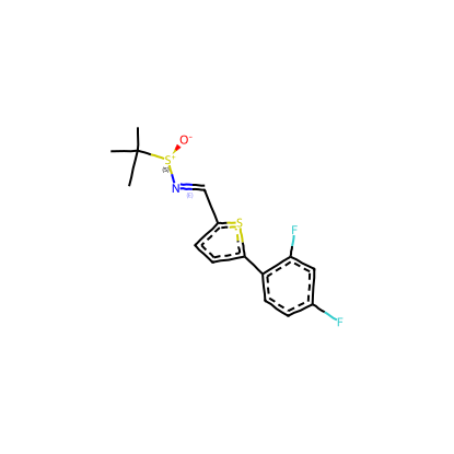 CC(C)(C)[S@@+]([O-])/N=C/c1ccc(-c2ccc(F)cc2F)s1